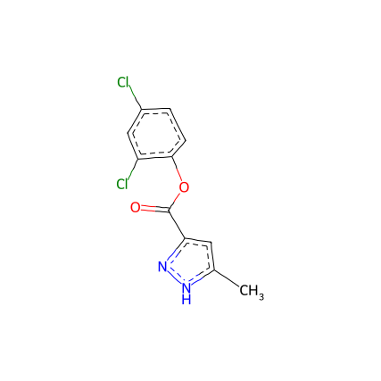 Cc1cc(C(=O)Oc2ccc(Cl)cc2Cl)n[nH]1